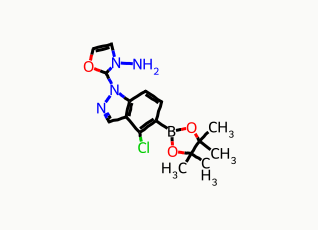 CC1(C)OB(c2ccc3c(cnn3C3OC=CN3N)c2Cl)OC1(C)C